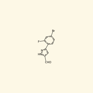 O=Cc1cc(-c2ccc(Br)cc2F)n[nH]1